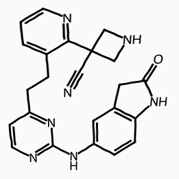 N#CC1(c2ncccc2CCc2ccnc(Nc3ccc4c(c3)CC(=O)N4)n2)CNC1